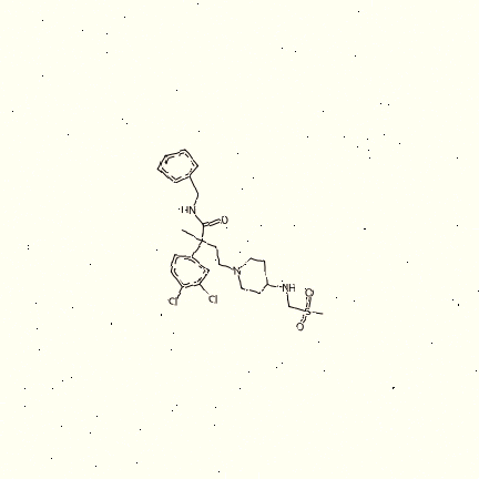 CC(CCN1CCC(NCS(C)(=O)=O)CC1)(C(=O)NCc1ccccc1)c1ccc(Cl)c(Cl)c1